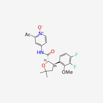 COc1c([C@H]2CC(C)(C)O[C@@H]2C(=O)Nc2cc[n+]([O-])c(C(C)=O)c2)ccc(F)c1F